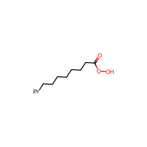 CC(C)CCCCCCCC(=O)OO